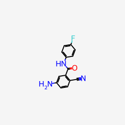 N#Cc1ccc(N)cc1C(=O)Nc1ccc(F)cc1